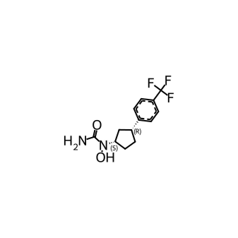 NC(=O)N(O)[C@H]1CC[C@@H](c2ccc(C(F)(F)F)cc2)C1